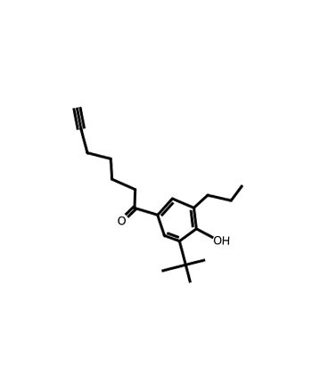 C#CCCCCC(=O)c1cc(CCC)c(O)c(C(C)(C)C)c1